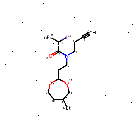 C#CCCN(CCC1OCCC(CC)CO1)C(=O)C(I)CCC